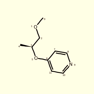 COC[C@H](C)Oc1ccncc1